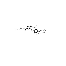 CNCCNC(=O)c1ccc2c(c1)CN(C(=O)c1cc3c(CN4CCCC4)n[nH]c3cc1O)C2